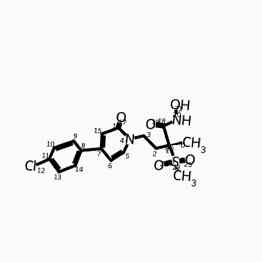 C[C@@](CCn1ccc(-c2ccc(Cl)cc2)cc1=O)(C(=O)NO)S(C)(=O)=O